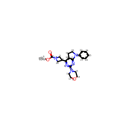 CC(C)(C)OC(=O)N1CC(c2nc(N3CCOCC3)nc3c2CCN3c2ccccc2)C1